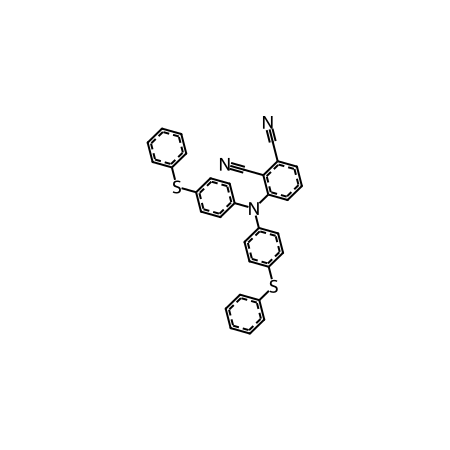 N#Cc1cccc(N(c2ccc(Sc3ccccc3)cc2)c2ccc(Sc3ccccc3)cc2)c1C#N